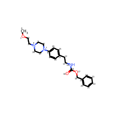 COCCN1CCN(c2ccc(CCNC(=O)OCc3ccccc3)cc2)CC1